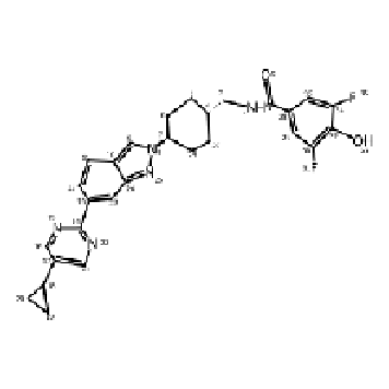 O=C(NC[C@H]1CC[C@H](n2cc3ccc(-c4ncc(C5CC5)cn4)cc3n2)CC1)c1cc(F)c(O)c(F)c1